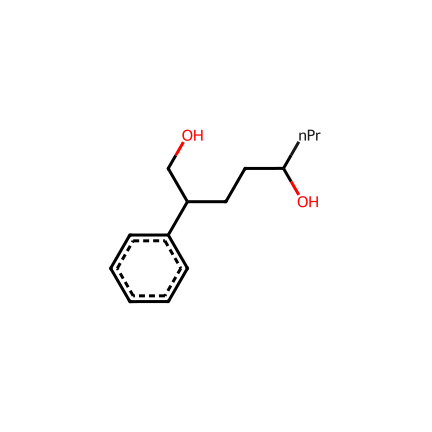 CCCC(O)CCC(CO)c1ccccc1